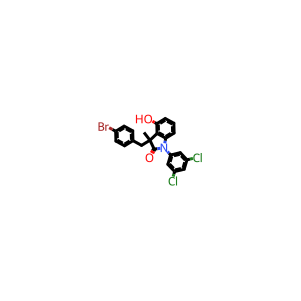 CC1(Cc2ccc(Br)cc2)C(=O)N(c2cc(Cl)cc(Cl)c2)c2cccc(O)c21